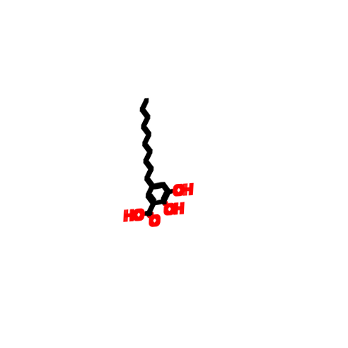 CCCCCCCCCCc1cc(O)c(O)c(C(=O)O)c1